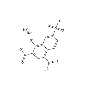 O=[N+]([O-])c1cc([N+](=O)[O-])c2ccc(S(=O)(=O)[O-])cc2c1[O-].[Na+].[Na+]